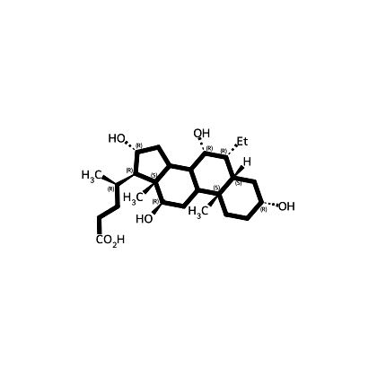 CC[C@H]1[C@@H](O)C2C3C[C@@H](O)[C@H]([C@H](C)CCC(=O)O)[C@@]3(C)[C@H](O)CC2[C@@]2(C)CC[C@@H](O)C[C@@H]12